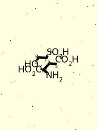 N[C@@H](CCC(=O)O)C(=O)O.O=S(=O)(O)CCO